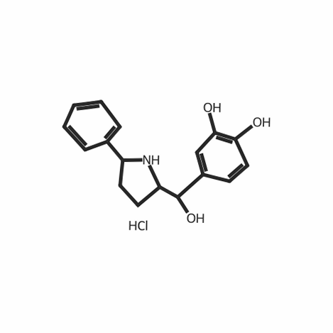 Cl.Oc1ccc(C(O)C2CCC(c3ccccc3)N2)cc1O